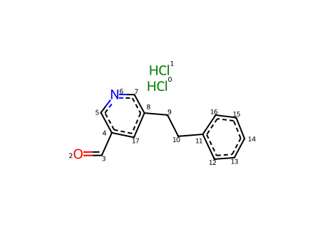 Cl.Cl.O=Cc1cncc(CCc2ccccc2)c1